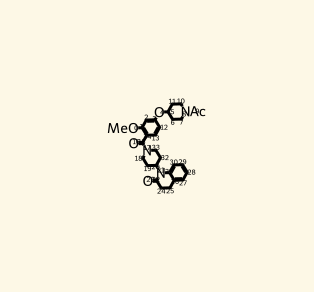 COc1cc(OC2CCN(C(C)=O)CC2)ccc1C(=O)N1CCC(N2C(=O)CCc3ccccc32)CC1